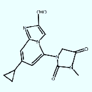 CN1C(=O)CN(c2cc(C3CC3)cc3nc(C=O)cn23)C1=O